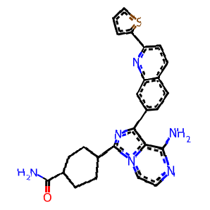 NC(=O)C1CCC(c2nc(-c3ccc4ccc(-c5cccs5)nc4c3)c3c(N)nccn23)CC1